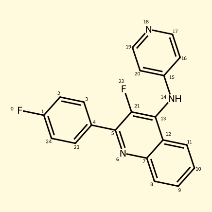 Fc1ccc(-c2nc3ccccc3c(Nc3ccncc3)c2F)cc1